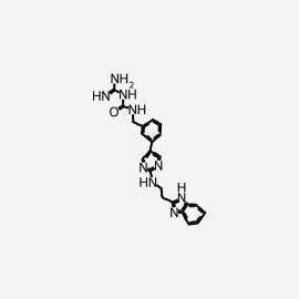 N=C(N)NC(=O)NCc1cccc(-c2cnc(NCCc3nc4ccccc4[nH]3)nc2)c1